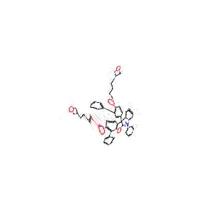 O=C1N(c2ccccc2)c2ccccc2C1(c1ccc(OCCCCC2COC2)c(-c2ccccc2)c1)c1ccc(OCCCCC2COC2)c(-c2ccccc2)c1